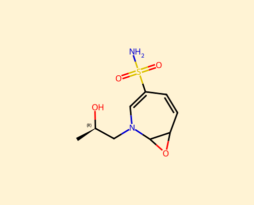 C[C@@H](O)CN1C=C(S(N)(=O)=O)C=CC2OC21